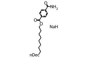 CCCCCCCCCCCCCCCCCCOC(=O)c1ccc(C(N)=O)cc1.[NaH]